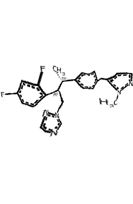 C[C@H](c1ccc(-c2ccnn2C)cc1)[C@@H](Cn1cncn1)c1ccc(F)cc1F